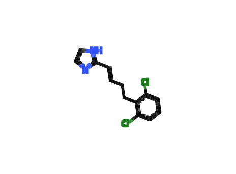 Clc1cccc(Cl)c1CCC=Cc1ncc[nH]1